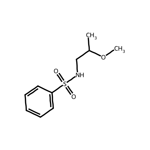 COC(C)CNS(=O)(=O)c1ccccc1